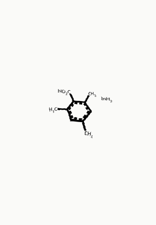 Cc1cc(C)c(C(=O)O)c(C)c1.[InH3]